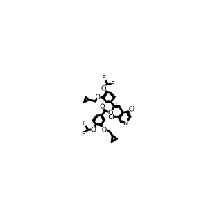 O=C(O/C(=C\c1c(Cl)cncc1Cl)c1ccc(OC(F)F)c(OCC2CC2)c1)c1ccc(OC(F)F)c(OCC2CC2)c1